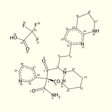 NC(=O)[C@@](C(=O)O)(C(=O)C(CCc1ccc2c(n1)NCCC2)N1CCCCC1)c1cccnc1.O=C(O)C(F)(F)F